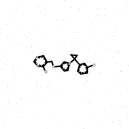 Clc1cccc(C2(n3ccc(OCc4cncnc4Cl)c3)CC2)c1